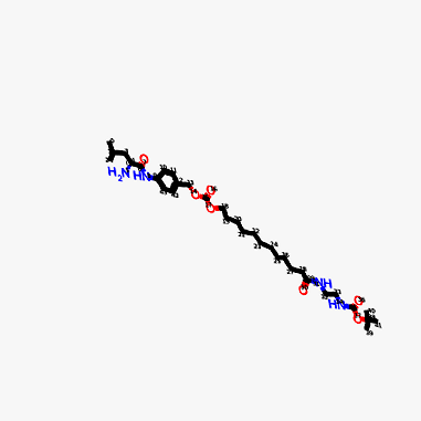 CC(C)C[C@H](N)C(=O)Nc1ccc(COC(=O)OCCCCCCCCCCCC(=O)NCCNC(=O)OC(C)(C)C)cc1